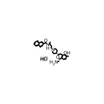 Cc1ccc2c(c1O)C[C@@H](C1CCN(CCC(C)NC(=O)c3ccc4ccccc4c3)CC1)O[C@H]2CN.Cl.Cl